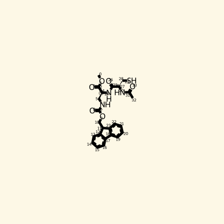 COC(=O)[C@H](CNC(=O)OCC1c2ccccc2-c2ccccc21)NC(=O)[C@H](CS)NC(C)=O